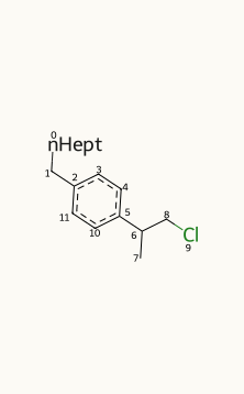 CCCCCCCCc1ccc(C(C)CCl)cc1